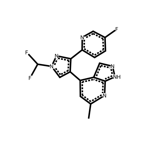 Cc1cc(-c2cn(C(F)F)nc2-c2ccc(F)cn2)c2cn[nH]c2n1